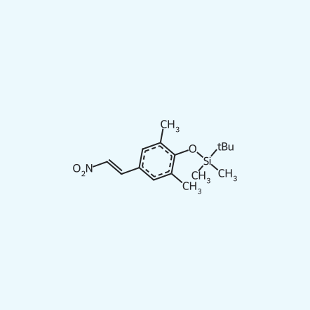 Cc1cc(C=C[N+](=O)[O-])cc(C)c1O[Si](C)(C)C(C)(C)C